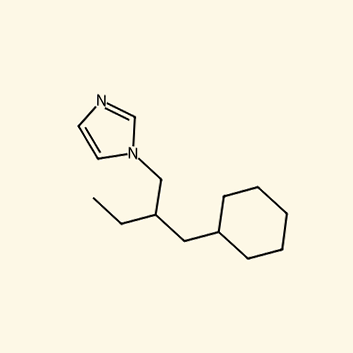 CCC(CC1CCCCC1)Cn1ccnc1